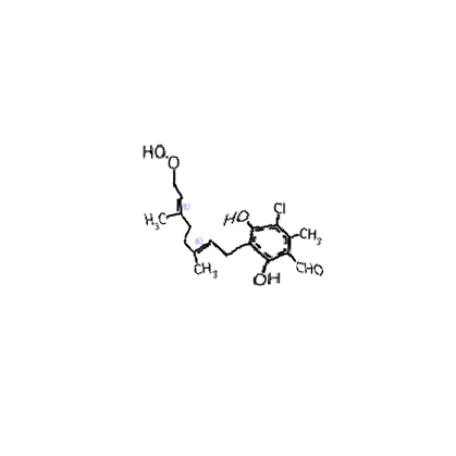 C/C(=C\COO)CC/C(C)=C/Cc1c(O)c(Cl)c(C)c(C=O)c1O